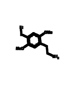 CCSc1cc(OC)c(CCN)cc1OC